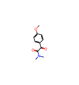 COc1ccc(C(=O)C(=O)N(C)C)cc1